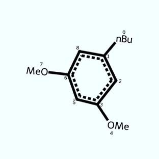 CCCCc1cc(OC)[c]c(OC)c1